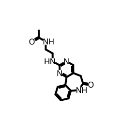 CC(=O)NCCNc1ncc2c(n1)-c1ccccc1NC(=O)C2